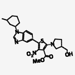 COC(=O)c1c(N2CCC(CO)C2)sc(-c2ccc3c(c2)ncn3C2CCCC(C)C2)c1[N+](=O)[O-]